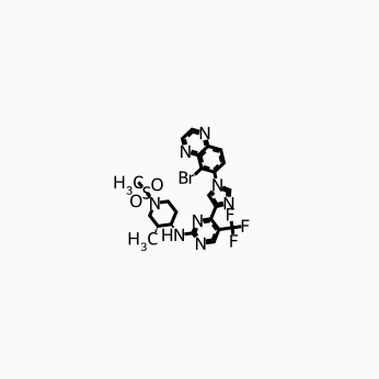 C[C@@H]1CN(S(C)(=O)=O)CC[C@@H]1Nc1ncc(C(F)(F)F)c(-c2cn(-c3ccc4nccnc4c3Br)cn2)n1